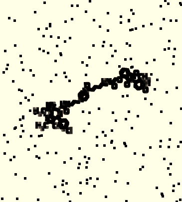 C=C1NC(=O)CCC1N1C(=O)c2cccc(OCC(=O)NCCCCCC(=O)N3CCN(CCCNC(=O)C[C@@H]4N=C(c5ccc(Cl)cc5)c5c(sc(C)c5C)-n5c(C)nnc54)CC3)c2C1=O